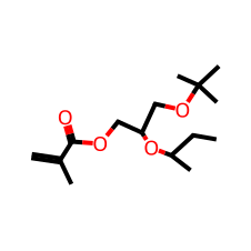 C=C(C)C(=O)OCC(COC(C)(C)C)OC(C)CC